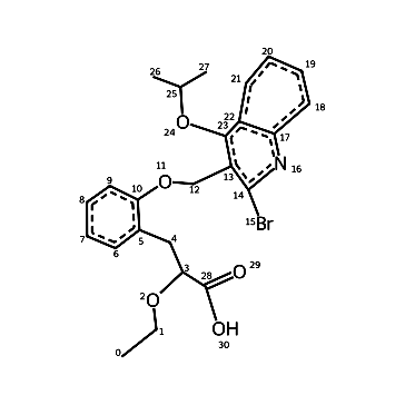 CCOC(Cc1ccccc1OCc1c(Br)nc2ccccc2c1OC(C)C)C(=O)O